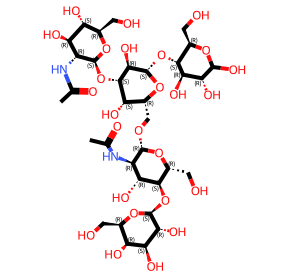 CC(=O)N[C@H]1[C@H](OC[C@H]2O[C@@H](O[C@H]3[C@H](O)[C@@H](O)C(O)O[C@@H]3CO)[C@H](O)[C@@H](O[C@@H]3O[C@H](CO)[C@@H](O)[C@H](O)[C@H]3NC(C)=O)[C@H]2O)O[C@H](CO)[C@@H](O[C@@H]2O[C@H](CO)[C@H](O)[C@H](O)[C@H]2O)[C@@H]1O